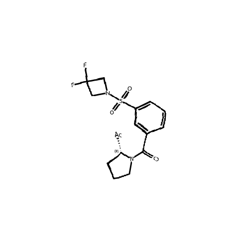 CC(=O)[C@H]1CCCN1C(=O)c1cccc(S(=O)(=O)N2CC(F)(F)C2)c1